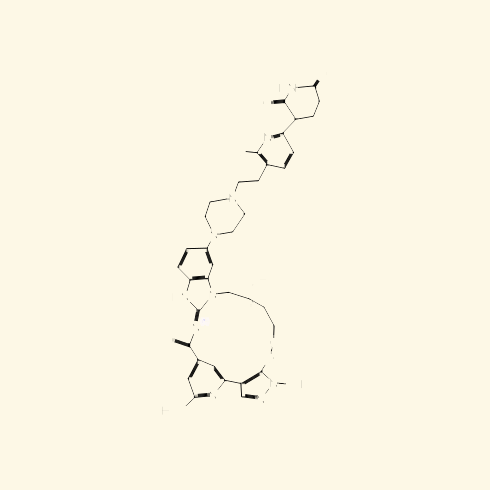 Cc1cc2cc(n1)-c1cnn(C)c1OCCC[C@@H](C)CN1/C(=N/C2=O)Nc2ccc(N3CCN(CCc4ccc(C5CCC(=O)NC5=O)nc4C)CC3)cc21